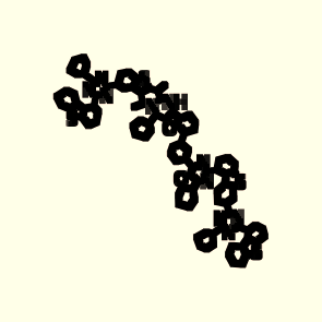 C=Cc1c(C(=C)C(=N)/N=C(/c2ccccc2)c2cc3cccc(-c4cccc(-c5nc(-c6cccc7sc8cc(-c9nc(-c%10ccccc%10)nc(-c%10cccc%11sc%12ccccc%12c%10%11)n9)ccc8c67)nc6c5oc5ccccc56)c4)c3o2)sc2ccc(-c3nc(-c4ccccc4)nc(-c4cccc5sc6ccccc6c45)n3)cc12